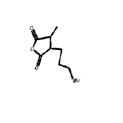 CC1C(=O)OC(=O)C1CCCC(C)(C)C